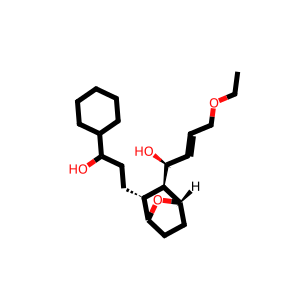 CCOCC=C[C@H](O)[C@H]1[C@@H]2CCC(O2)[C@@H]1CCC(O)C1CCCCC1